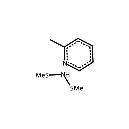 CSNSC.Cc1ccccn1